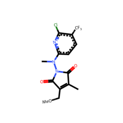 COCC1=C(C)C(=O)N(N(C)c2ccc(C(F)(F)F)c(Cl)n2)C1=O